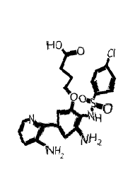 Nc1cccnc1-c1cc(N)c(NS(=O)(=O)c2ccc(Cl)cc2)c(OCCCC(=O)O)c1